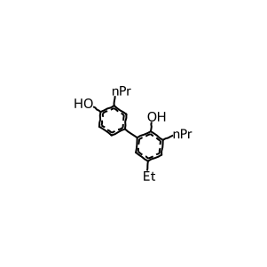 CCCc1cc(-c2cc(CC)cc(CCC)c2O)ccc1O